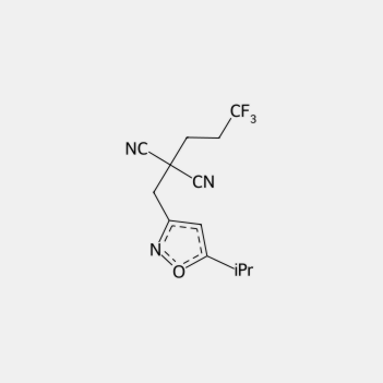 CC(C)c1cc(CC(C#N)(C#N)CCC(F)(F)F)no1